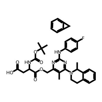 Cc1c(COC(=O)C(CC(=O)O)NC(=O)OC(C)(C)C)nc(Nc2ccc(F)cc2)nc1N1CCc2ccccc2C1C.c1ccc2c(c1)C2